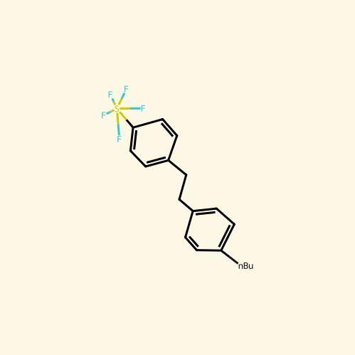 CCCCc1ccc(CCc2ccc(S(F)(F)(F)(F)F)cc2)cc1